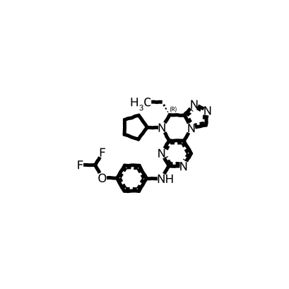 CC[C@@H]1c2nncn2-c2cnc(Nc3ccc(OC(F)F)cc3)nc2N1C1CCCC1